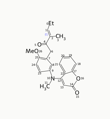 CC/C=C(\C)C(=O)Cc1cc(N(C)c2cc(=O)oc3ccccc23)ccc1OC